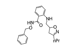 CCCC1=NOC(CNc2ccccc2C(=O)NOCc2ccccc2)C1